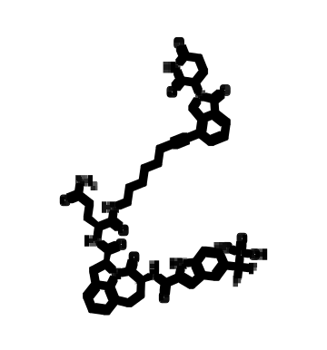 NC(=O)CC[C@H](NC(=O)[C@@H]1Cc2cccc3c2N1C(=O)[C@@H](NC(=O)c1cc2cc(C(F)(F)P(=O)(O)O)ccc2[nH]1)CC3)C(=O)NCCCCCCC#Cc1cccc2c1CN(C1CCC(=O)NC1=O)C2=O